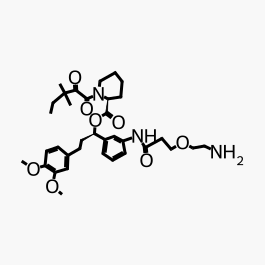 CCC(C)(C)C(=O)C(=O)N1CCCC[C@H]1C(=O)O[C@H](CCc1ccc(OC)c(OC)c1)c1cccc(NC(=O)CCOCCN)c1